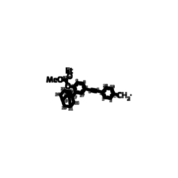 [CH2]c1ccc(C#Cc2ccc(OC(OC)OCC)c(C34CC5CC(CC(C5)C3)C4)c2)cc1